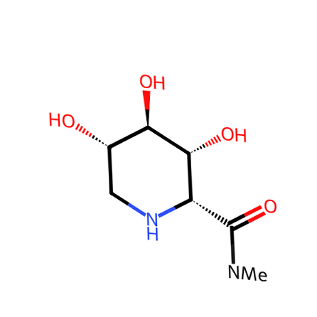 CNC(=O)[C@@H]1NC[C@H](O)[C@@H](O)[C@@H]1O